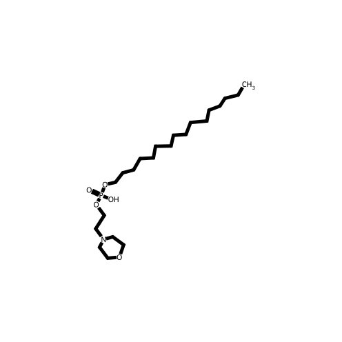 CCCCCCCCCCCCCCCCOP(=O)(O)OCCN1CCOCC1